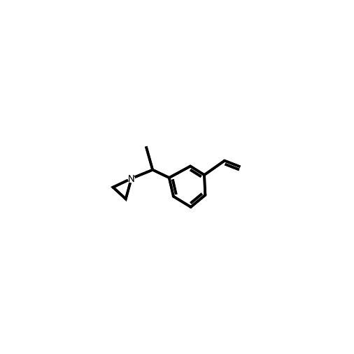 C=Cc1cccc(C(C)N2CC2)c1